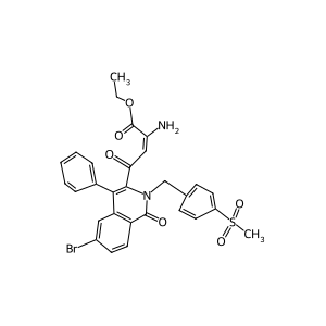 CCOC(=O)/C(N)=C\C(=O)c1c(-c2ccccc2)c2cc(Br)ccc2c(=O)n1Cc1ccc(S(C)(=O)=O)cc1